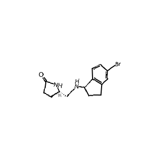 O=C1CC[C@@H](CNC2CCc3cc(Br)ccc32)N1